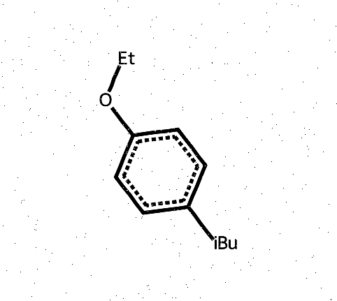 CCOc1ccc(C(C)CC)cc1